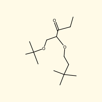 CCC(=O)C(COC(C)(C)C)OCCC(C)(C)C